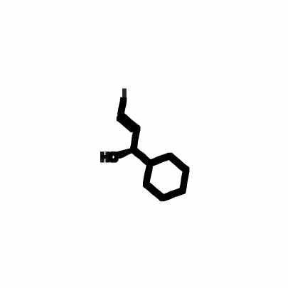 O[C@@H](/C=C/I)C1CCCCC1